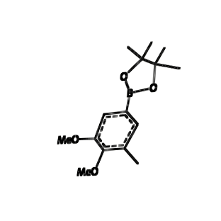 COc1cc(B2OC(C)(C)C(C)(C)O2)cc(C)c1OC